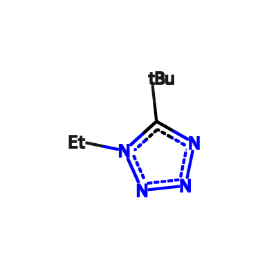 CCn1nnnc1C(C)(C)C